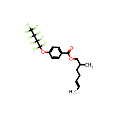 CC=CCCC(C)COC(=O)c1ccc(OC(F)(F)C(F)(F)C(F)(F)C(F)(F)F)cc1